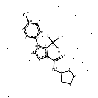 O=C(NC1CCCC1)c1cnn(-c2ccc(Cl)cc2)c1C(F)(F)F